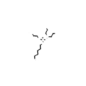 CCCCCCCCCCCCCCCOP(=O)(OCCCCCCCCCCCC)ON(CCO)CCO